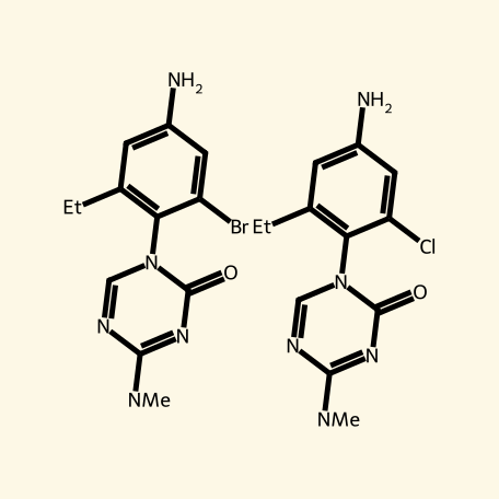 CCc1cc(N)cc(Br)c1-n1cnc(NC)nc1=O.CCc1cc(N)cc(Cl)c1-n1cnc(NC)nc1=O